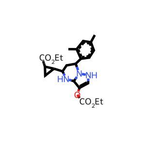 CCOC(=O)OC1=CNN2C1NC(C1CC1C(=O)OCC)CC2c1ccc(C)cc1C